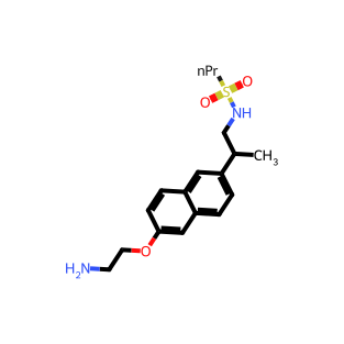 CCCS(=O)(=O)NCC(C)c1ccc2cc(OCCN)ccc2c1